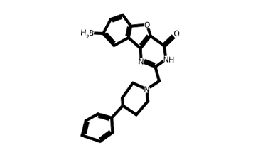 Bc1ccc2oc3c(=O)[nH]c(CN4CCC(c5ccccc5)CC4)nc3c2c1